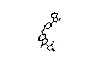 O=C1CCC(N2Cc3cc(CN4CC=C(c5c[nH]c6ncccc56)CC4)ccc3C2=O)C(=O)N1